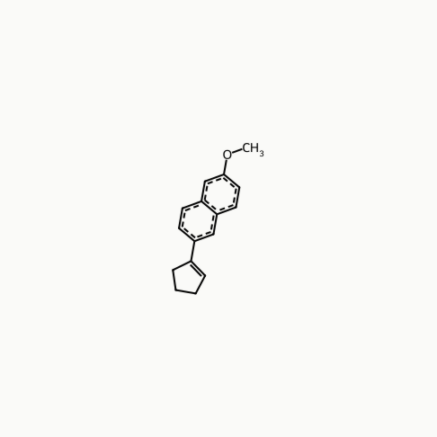 COc1ccc2cc(C3=CCCC3)ccc2c1